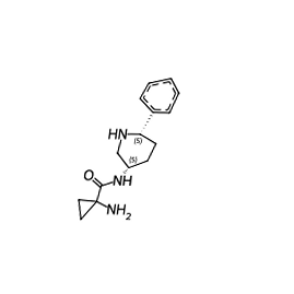 NC1(C(=O)N[C@H]2CC[C@@H](c3ccccc3)NC2)CC1